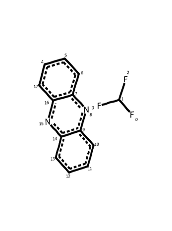 FC(F)F.c1ccc2nc3ccccc3nc2c1